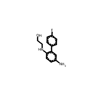 Nc1ccc(NCCO)c(-c2ccc(F)cc2)c1